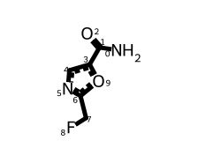 NC(=O)c1cnc(CF)o1